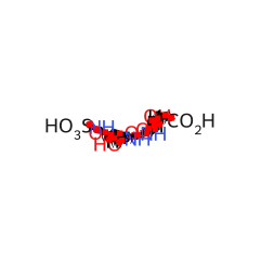 C[C@H](CCC(=O)O)[C@H]1CC[C@H]2[C@@H]3[C@@H](O)CC4C[C@H](NC(=O)CCCC(=O)N[C@H]5CC[C@]6(C)C(C5)C[C@@H](O)[C@H]5C6CC[C@]6(C)C5CC[C@H]6CCCC(=O)NCCS(=O)(=O)O)CC[C@]4(C)[C@H]3CC[C@]12C